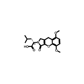 COc1ccc(OC)c2c1CC1=C(O2)C(=O)N([C@@H](CC(C)C)C(=O)O)C1